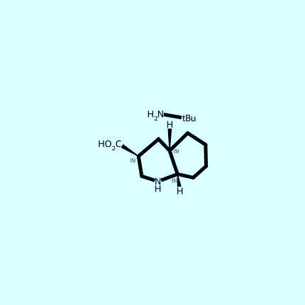 CC(C)(C)N.O=C(O)[C@@H]1CN[C@H]2CCCC[C@H]2C1